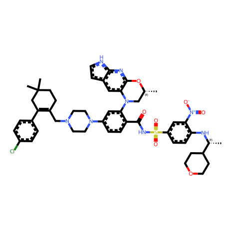 C[C@@H]1CN(c2cc(N3CCN(CC4=C(c5ccc(Cl)cc5)CC(C)(C)CC4)CC3)ccc2C(=O)NS(=O)(=O)c2ccc(N[C@H](C)C3CCOCC3)c([N+](=O)[O-])c2)c2cc3cc[nH]c3nc2O1